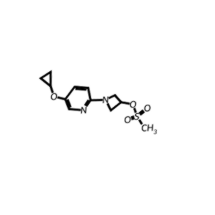 CS(=O)(=O)OC1CN(c2ccc(OC3CC3)cn2)C1